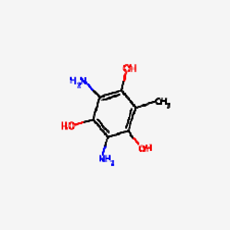 Cc1c(O)c(N)c(O)c(N)c1O